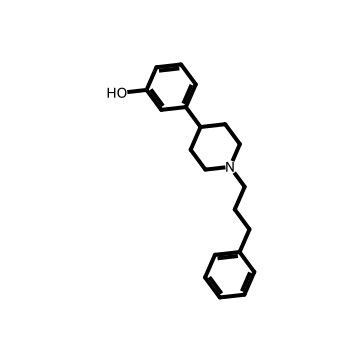 Oc1cccc(C2CCN(CCCc3ccccc3)CC2)c1